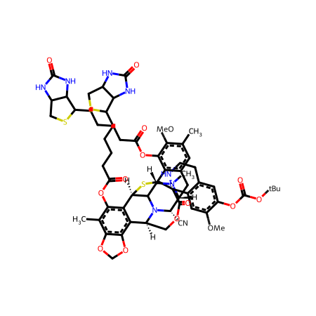 COc1cc2c(cc1OC(=O)OC(C)(C)C)CCN[C@]21CS[C@@H]2c3c(OC(=O)CCCCC4SCC5NC(=O)NC54)c(C)c4c(c3[C@H](COC1=O)N1C2[C@@H]2c3c(cc(C)c(OC)c3OC(=O)CCCCC3SCC5NC(=O)NC53)C[C@H]([C@@H]1C#N)N2C)OCO4